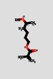 C=C(C)C(=O)OCCC[SiH2]C(C)OCC